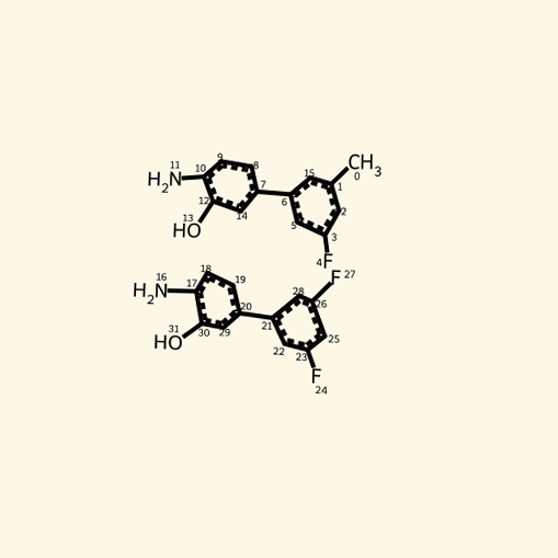 Cc1cc(F)cc(-c2ccc(N)c(O)c2)c1.Nc1ccc(-c2cc(F)cc(F)c2)cc1O